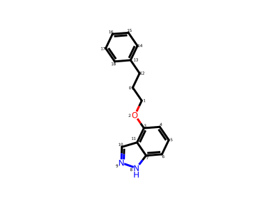 [CH](COc1cccc2[nH]ncc12)Cc1ccccc1